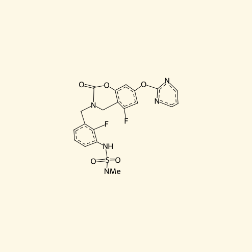 CNS(=O)(=O)Nc1cccc(CN2Cc3c(F)cc(Oc4ncccn4)cc3OC2=O)c1F